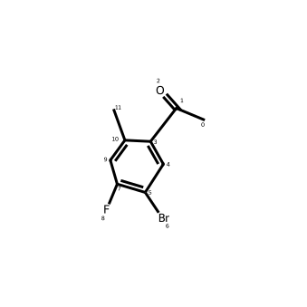 CC(=O)c1cc(Br)c(F)cc1C